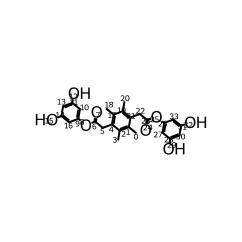 Cc1c(C)c(CC(=O)Oc2cc(O)cc(O)c2)c(C)c(C)c1CC(=O)Oc1cc(O)cc(O)c1